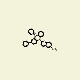 Cc1ccc2nc(N3c4ccccc4[SiH](c4ccccc4)c4cc(-c5ccccc5)ccc43)ccc2c1